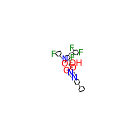 O=C(C=C(O)c1cc(Cc2c(F)cc(F)cc2F)cn(Cc2cccc(F)c2)c1=O)C(=O)N1CCN(c2ccc(-c3ccccc3)cc2)CC1